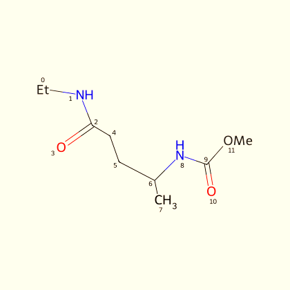 CCNC(=O)CCC(C)NC(=O)OC